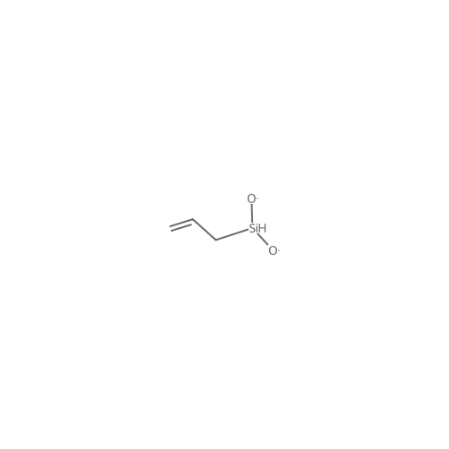 C=CC[SiH]([O])[O]